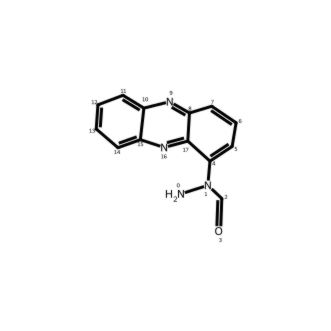 NN(C=O)c1cccc2nc3ccccc3nc12